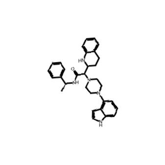 C[C@H](NC(=O)C(C1CCc2ccccc2N1)N1CCN(c2cccc3[nH]ccc23)CC1)c1ccccc1